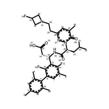 Cc1cc(C)c(-c2cc(C)c(F)c([C@H](CC(=O)O)NC(=O)[C@H](CC(C)C)n3nc(CCN4CC(F)C4)cc(C)c3=O)c2F)c(C)c1